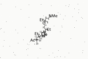 CCC(CCOC(C)(CC)CCNC)n1cc(C(C)(CC)CC(C)(C)C(C)=O)nn1